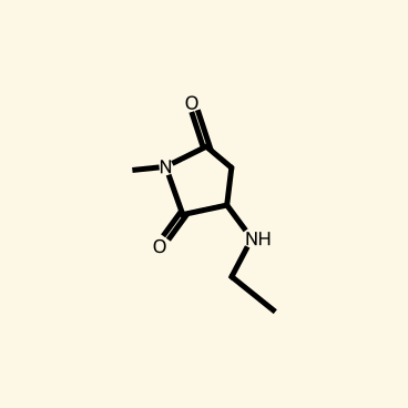 CCNC1CC(=O)N(C)C1=O